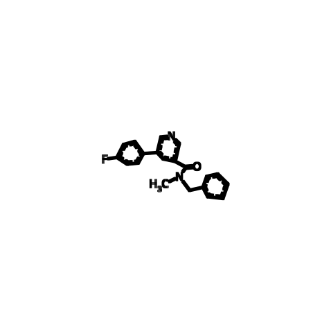 CN(Cc1ccccc1)C(=O)c1cncc(-c2ccc(F)cc2)c1